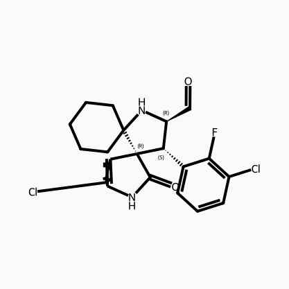 O=C[C@@H]1NC2(CCCCC2)[C@@]2(C(=O)Nc3cc(Cl)ccc32)[C@H]1c1cccc(Cl)c1F